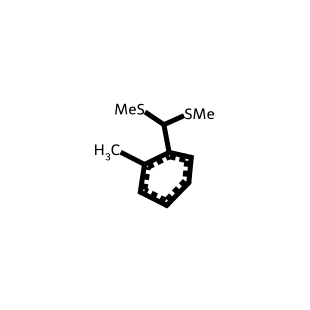 CSC(SC)c1ccccc1C